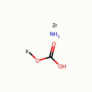 N.O=C(O)[O][Ir].[Zr]